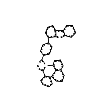 c1ccc(-c2nnc(-c3ccc(-c4cccc5c4sc4ccccc45)cc3)n2-c2cccc3ccccc23)cc1